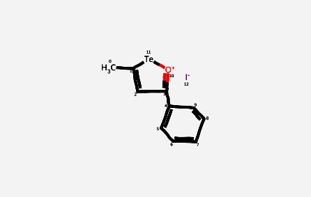 Cc1cc(-c2ccccc2)[o+][te]1.[I-]